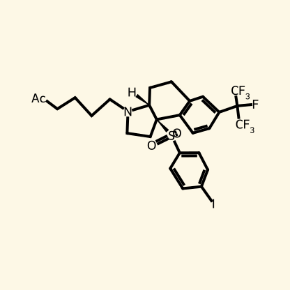 CC(=O)CCCCN1CC[C@@]2(S(=O)(=O)c3ccc(I)cc3)c3ccc(C(F)(C(F)(F)F)C(F)(F)F)cc3CC[C@@H]12